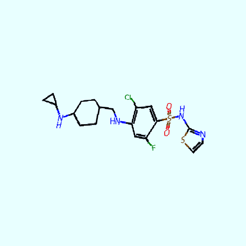 O=S(=O)(Nc1nccs1)c1cc(Cl)c(NCC2CCC(NC3CC3)CC2)cc1F